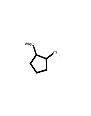 COC1CCCC1C